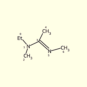 CCN(C)/C(C)=N/C